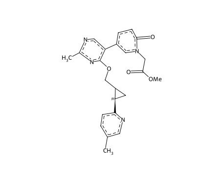 COC(=O)Cn1cc(-c2cnc(C)nc2OCC2C[C@H]2c2ccc(C)cn2)ccc1=O